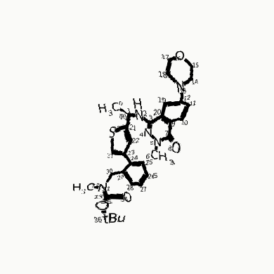 C[C@@H](Nc1nn(C)c(=O)c2ccc(N3CCOCC3)cc12)c1cc(-c2ccccc2CN(C)C(=O)OC(C)(C)C)cs1